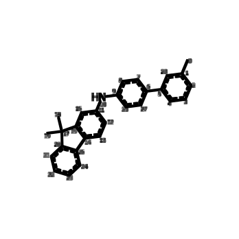 Cc1cccc(-c2ccc(Nc3ccc4c(c3)C(C)(C)c3ccccc3-4)cc2)c1